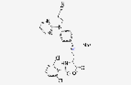 N#CCCN(c1ccc(/C=C/CC(NC(=O)c2c(Cl)cccc2Cl)C(=O)[O-])cc1)c1ncccn1.[Na+]